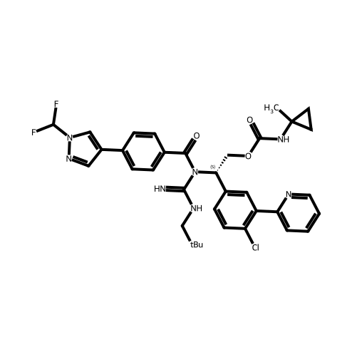 CC(C)(C)CNC(=N)N(C(=O)c1ccc(-c2cnn(C(F)F)c2)cc1)[C@H](COC(=O)NC1(C)CC1)c1ccc(Cl)c(-c2ccccn2)c1